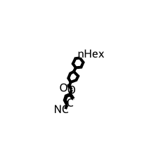 CCCCCCC1CCC(C2CCC(C(=O)Oc3ccc(C#N)cc3)CC2)CC1